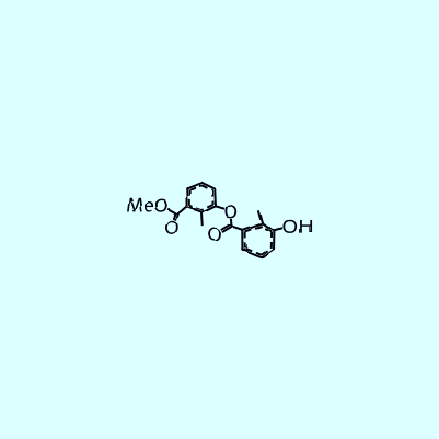 COC(=O)c1cccc(OC(=O)c2cccc(O)c2C)c1C